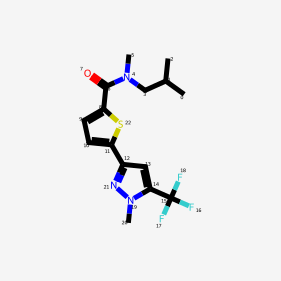 CC(C)CN(C)C(=O)c1ccc(-c2cc(C(F)(F)F)n(C)n2)s1